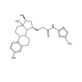 Cc1cnc(NC(=O)CC[C@@H]2C[C@H](O)C3(C)CCC4c5ccc(O)cc5CCC4C23)s1